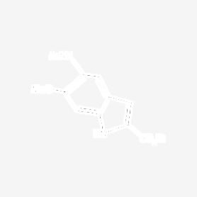 CCOC(=O)c1cc2cc(NC(C)=O)c(OC)cc2[nH]1